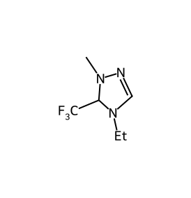 CCN1C=NN(C)C1C(F)(F)F